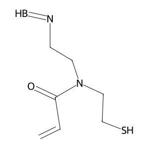 B=NCCN(CCS)C(=O)C=C